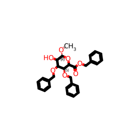 CO[C@@H]1OC(C(=O)OCc2ccccc2)[C@@H](OCc2ccccc2)C(OCc2ccccc2)C1O